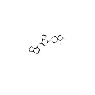 C[C@@H]1OCC2(CCN(c3ncc(Sc4ccnc5c4CCC5)c4nccn34)CC2)[C@@H]1N